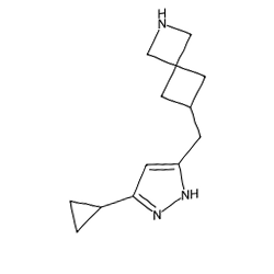 c1c(C2CC2)n[nH]c1CC1CC2(CNC2)C1